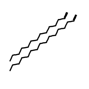 C=CCCCCCCCCCCCC.C=CCCCCCCCCCCCCCC